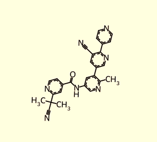 Cc1ncc(NC(=O)c2ccnc(C(C)(C)C#N)c2)cc1-c1cnc(-c2ccncc2)c(C#N)c1